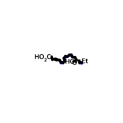 CC/C=C\C[C@@H](CC/C=C\C/C=C\C/C=C\CC#CCCC(=O)O)OO